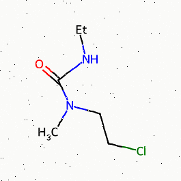 [CH2]CNC(=O)N(C)CCCl